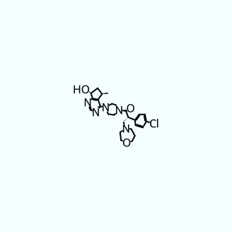 C[C@@H]1C[C@@H](O)c2ncnc(N3CCN(C(=O)[C@@H](CN4CCCOCC4)c4ccc(Cl)cc4)CC3)c21